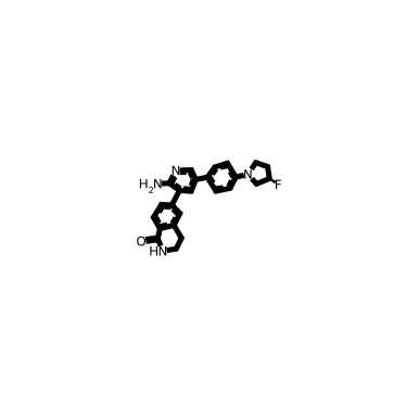 Nc1ncc(-c2ccc(N3CC[C@@H](F)C3)cc2)cc1-c1ccc2c(c1)CCNC2=O